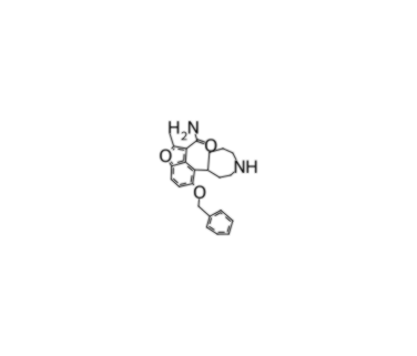 Cc1oc2ccc(OCc3ccccc3)c(C3CCCNCC3)c2c1C(N)=O